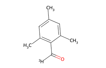 [2H]C(=O)c1c(C)cc(C)cc1C